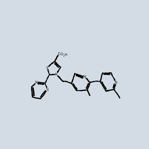 Cc1cc(-c2ncc(CN3C=C(C(=O)O)SC3c3ncccn3)cc2C)ccn1